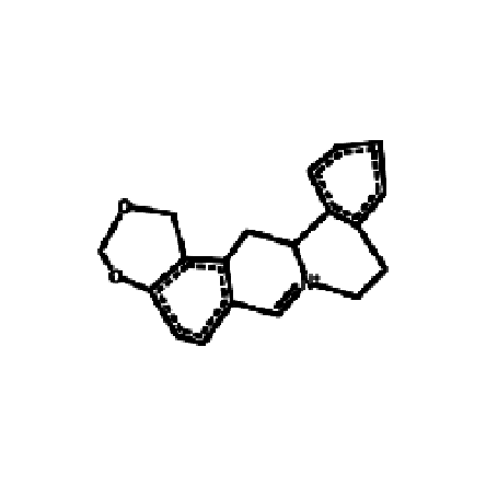 C1=[N+]2CCc3ccccc3C2Cc2c1ccc1c2COCO1